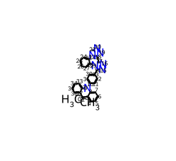 CC1(C)c2ccccc2N(c2ccc(-c3nnc4c5nncn5c5ccccc5n34)cc2)c2ccccc21